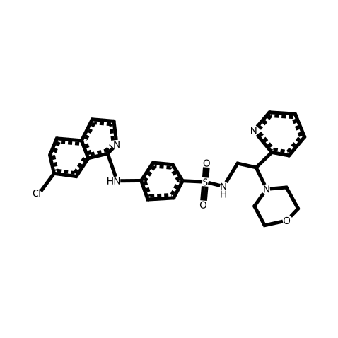 O=S(=O)(NCC(c1ccccn1)N1CCOCC1)c1ccc(Nc2nccc3ccc(Cl)cc23)cc1